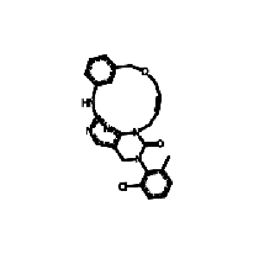 Cc1cccc(Cl)c1N1Cc2cnc3nc2N(C/C=C\COCc2cccc(c2)N3)C1=O